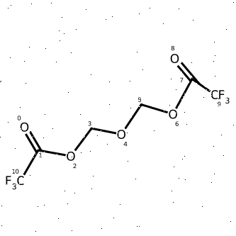 O=C(OCOCOC(=O)C(F)(F)F)C(F)(F)F